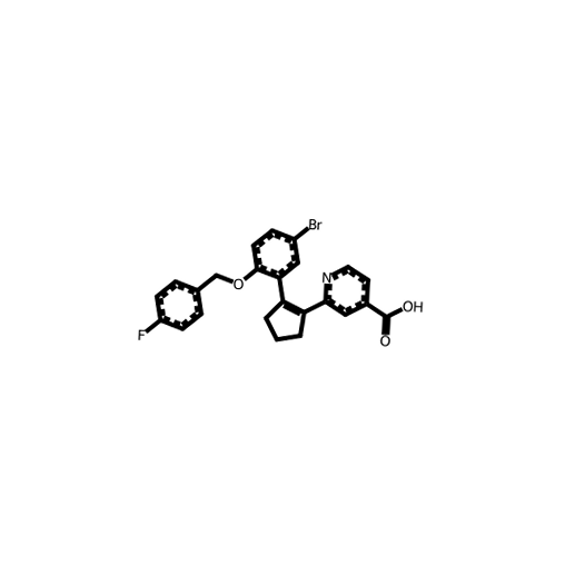 O=C(O)c1ccnc(C2=C(c3cc(Br)ccc3OCc3ccc(F)cc3)CCC2)c1